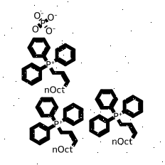 CCCCCCCC/C=C\C[P+](c1ccccc1)(c1ccccc1)c1ccccc1.CCCCCCCC/C=C\C[P+](c1ccccc1)(c1ccccc1)c1ccccc1.CCCCCCCC/C=C\C[P+](c1ccccc1)(c1ccccc1)c1ccccc1.O=P([O-])([O-])[O-]